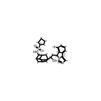 O=S(=O)(NC1C2CC3CC1CC(C(O)CC1c4c(F)cccc4-c4cncn41)(C3)C2)C1CCCC1